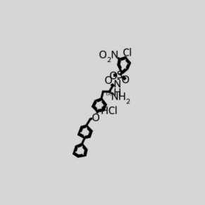 Cl.N[C@@H](Cc1ccc(OCc2ccc(-c3ccccc3)cc2)cc1)C(=O)NS(=O)(=O)c1ccc(Cl)c([N+](=O)[O-])c1